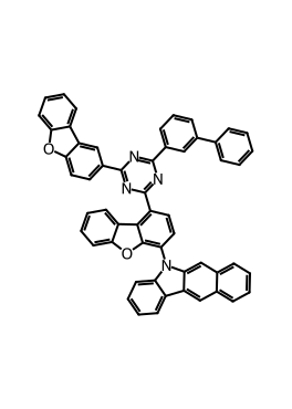 c1ccc(-c2cccc(-c3nc(-c4ccc5oc6ccccc6c5c4)nc(-c4ccc(-n5c6ccccc6c6cc7ccccc7cc65)c5oc6ccccc6c45)n3)c2)cc1